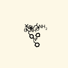 CC(C[CH]C(=O)NC(Cc1ccc(N(Cc2ccccc2)Cc2ccccc2)cc1)C(=O)NC(C)(C)C)C(N)=O